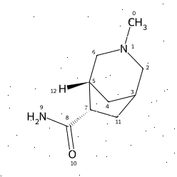 CN1CC2C[C@@H](C1)[C@@H](C(N)=O)C2